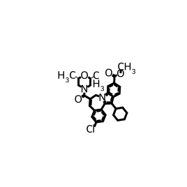 COC(=O)c1ccc2c(C3CCCCC3)c3n(c2c1)CC(C(=O)N1C[C@@H](C)O[C@@H](C)C1)=Cc1cc(Cl)ccc1-3